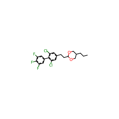 CCCC1COC(CCc2cc(Cl)c(-c3cc(F)c(F)c(F)c3)c(Cl)c2)OC1